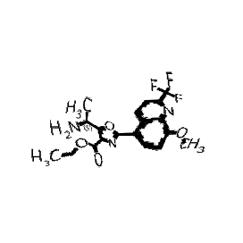 CCOC(=O)c1nc(-c2ccc(OC)c3nc(C(F)(F)F)ccc23)oc1[C@H](C)N